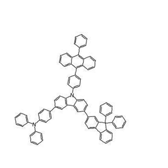 c1ccc(-c2c3ccccc3c(-c3ccc(-n4c5ccc(-c6ccc(N(c7ccccc7)c7ccccc7)cc6)cc5c5cc(-c6ccc7c(c6)C(c6ccccc6)(c6ccccc6)c6ccccc6-7)ccc54)cc3)c3ccccc23)cc1